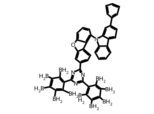 Bc1c(B)c(B)c(-c2nc(-c3ccc4c(c3)oc3cccc(-n5c6ccccc6c6ccc(-c7ccccc7)cc65)c34)nc(-c3c(B)c(B)c(B)c(B)c3B)n2)c(B)c1B